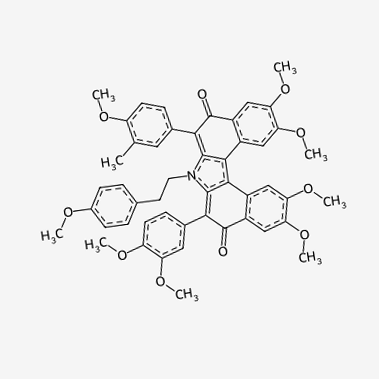 COc1ccc(CCn2c3c(c4c2=C(c2ccc(OC)c(OC)c2)C(=O)c2cc(OC)c(OC)cc2-4)-c2cc(OC)c(OC)cc2C(=O)C=3c2ccc(OC)c(C)c2)cc1